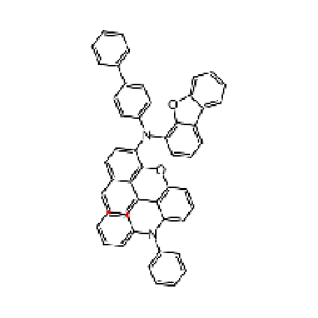 c1ccc(-c2ccc(N(c3ccc4cccc5c4c3Oc3cccc(N(c4ccccc4)c4ccccc4)c3-5)c3cccc4c3oc3ccccc34)cc2)cc1